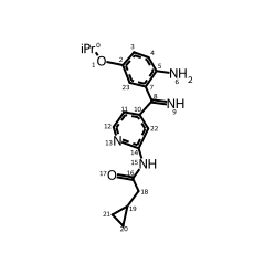 CC(C)Oc1ccc(N)c(C(=N)c2ccnc(NC(=O)CC3CC3)c2)c1